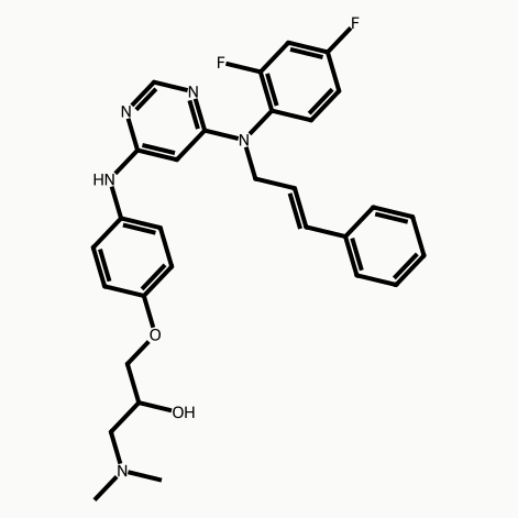 CN(C)CC(O)COc1ccc(Nc2cc(N(CC=Cc3ccccc3)c3ccc(F)cc3F)ncn2)cc1